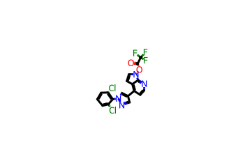 O=C(On1ccc2c(-c3cnn(-c4c(Cl)cccc4Cl)c3)ccnc21)C(F)(F)F